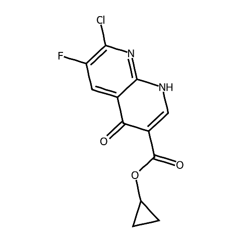 O=C(OC1CC1)c1c[nH]c2nc(Cl)c(F)cc2c1=O